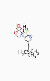 C[C@@H]1N(c2cc(C#C[Si](C)(C)C)cnc2F)CCOC12COC2